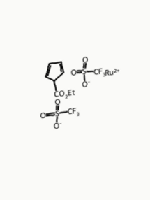 CCOC(=O)C1C=CC=C1.O=S(=O)([O-])C(F)(F)F.O=S(=O)([O-])C(F)(F)F.[Ru+2]